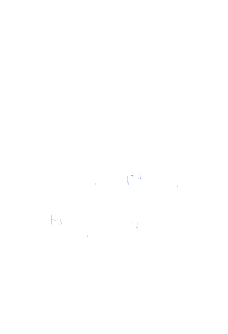 CC(C)(C)OC(=O)N1CCC[C@H]1C(=O)NCc1ccc(Br)cc1